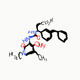 Cc1cn(C)c(=O)c(NC(=O)NC(CC(=O)O)c2cccc(Cc3ccccc3)c2)c1O